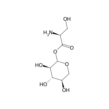 N[C@@H](CO)C(=O)OC1OC[C@@H](O)[C@H](O)[C@H]1O